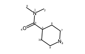 CN(C)C(=O)C1CC[N]CC1